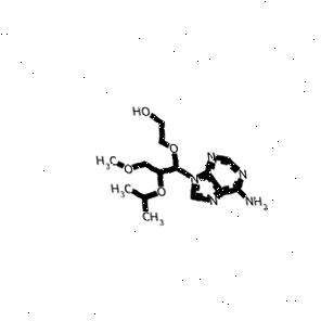 COCC(OC(C)C)C(OCCO)n1cnc2c(N)ncnc21